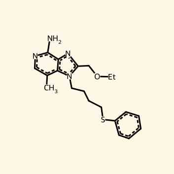 CCOCc1nc2c(N)ncc(C)c2n1CCCCSc1ccccc1